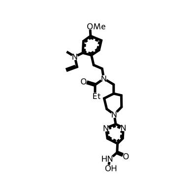 C=CN(C)c1cc(OC)ccc1CCN(CC1CCN(c2ncc(C(=O)NO)cn2)CC1)C(=O)CC